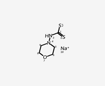 S=C([S-])NN1CCOCC1.[Na+]